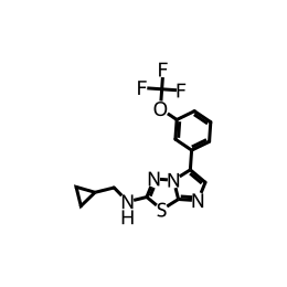 FC(F)(F)Oc1cccc(-c2cnc3sc(NCC4CC4)nn23)c1